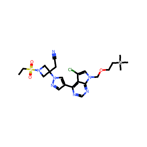 CCS(=O)(=O)N1CC(CC#N)(n2cc(-c3ncnc4c3c(Cl)cn4COCC[Si](C)(C)C)cn2)C1